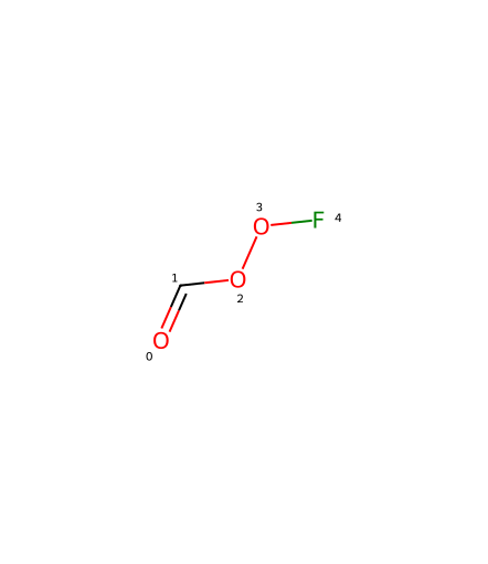 O=COOF